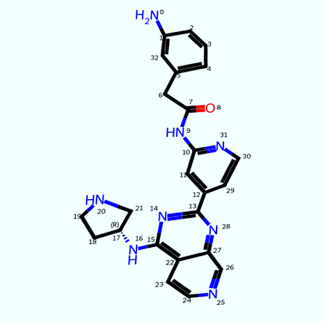 Nc1cccc(CC(=O)Nc2cc(-c3nc(N[C@@H]4CCNC4)c4ccncc4n3)ccn2)c1